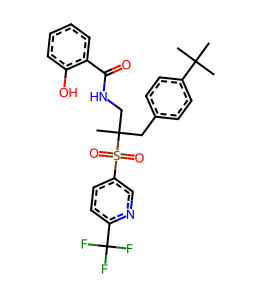 CC(C)(C)c1ccc(CC(C)(CNC(=O)c2ccccc2O)S(=O)(=O)c2ccc(C(F)(F)F)nc2)cc1